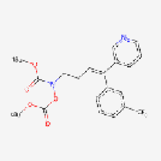 CC(C)(C)OC(=O)ON(CCC=C(c1cccnc1)c1cccc(C(F)(F)F)c1)C(=O)OC(C)(C)C